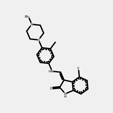 CCC(C)N1CCN(c2ccc(NC=C3C(=O)Nc4cccc(F)c43)cc2C)CC1